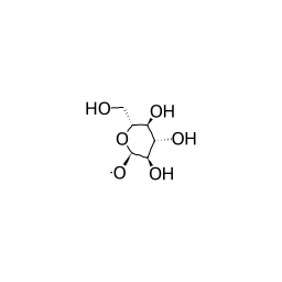 [O][C@H]1O[C@H](CO)[C@@H](O)[C@H](O)[C@H]1O